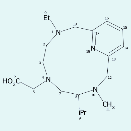 CCN1CCN(CC(=O)O)CC(C(C)C)N(C)Cc2cccc(n2)C1